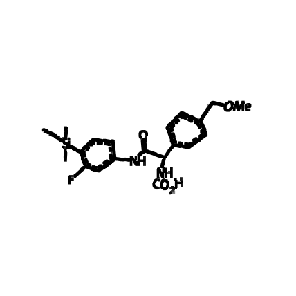 COCc1ccc(C(NC(=O)O)C(=O)Nc2ccc([Si](C)(C)C)c(F)c2)cc1